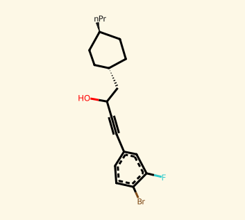 CCC[C@H]1CC[C@H](CC(O)C#Cc2ccc(Br)c(F)c2)CC1